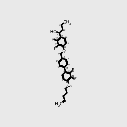 C=CCCCOc1ccc(-c2ccc(COc3ccc(C(O)CCC)c(F)c3F)cc2)c(F)c1F